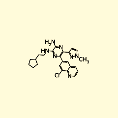 Cn1ccc(-c2nc(N)c(NCCC3CCCC3)nc2-c2cc(Cl)c3ncccc3c2)n1